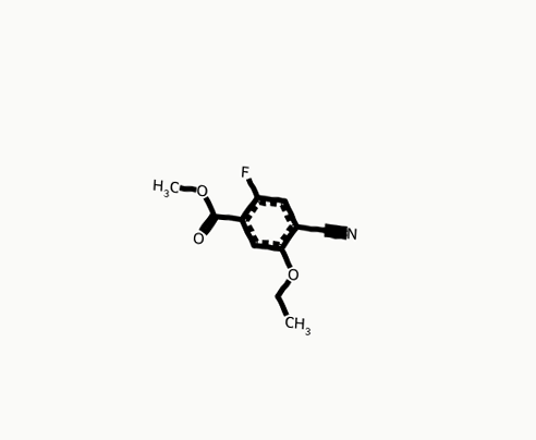 CCOc1cc(C(=O)OC)c(F)cc1C#N